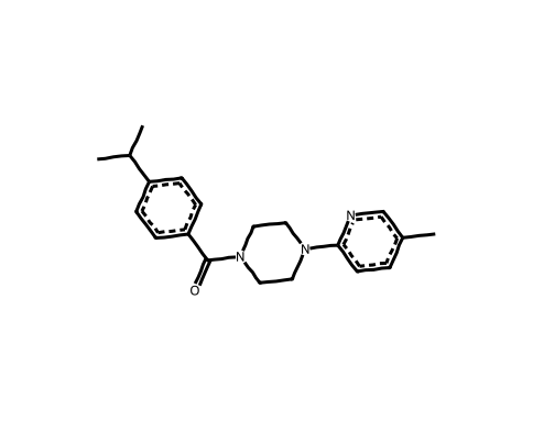 Cc1ccc(N2CCN(C(=O)c3ccc(C(C)C)cc3)CC2)nc1